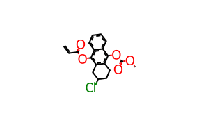 C=CC(=O)Oc1c2c(c(OC(=O)OC)c3ccccc13)CCC(Cl)C2